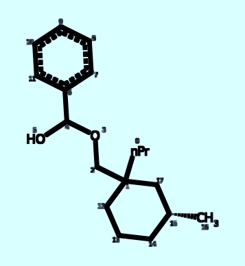 CCCC1(COC(O)c2ccccc2)CCC[C@@H](C)C1